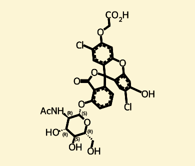 CC(=O)N[C@H]1[C@H](Oc2cccc3c2C(=O)OC32c3cc(Cl)c(O)cc3Oc3cc(OCC(=O)O)c(Cl)cc32)O[C@H](CO)[C@@H](O)[C@@H]1O